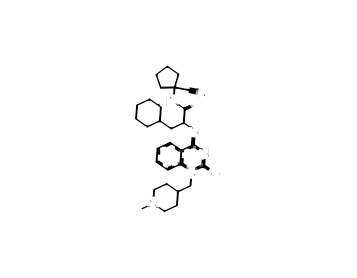 CN1CCC(Cn2c(=O)[nH]/c(=N/C(CC3CCCCC3)C(=O)NC3(C#N)CCCC3)c3ccccc32)CC1